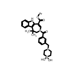 CC(C)OC(=O)C1=CN(C(=O)c2cccc(CN3CCS(O)(O)CC3)c2)CC(C)(C)c2c1[nH]c1ccccc21